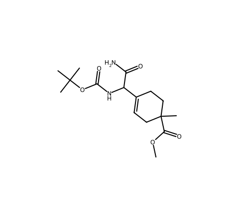 COC(=O)C1(C)CC=C(C(NC(=O)OC(C)(C)C)C(N)=O)CC1